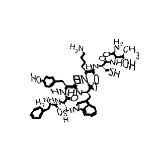 C[C@@H](O)[C@H](NC(=O)[C@H](CS)NC(=O)[C@H](CCCCN)NC(=O)[C@@H](Cc1c[nH]c2ccccc12)NC(=O)[C@H](Cc1ccc(O)cc1)NC(=O)[C@H](CS)NC(=O)[C@H](N)Cc1ccccc1)C(N)=O